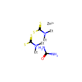 CCN(CC)C(=S)[S-].CCN(CC)C(=S)[S-].NC(N)=O.[Zn+2]